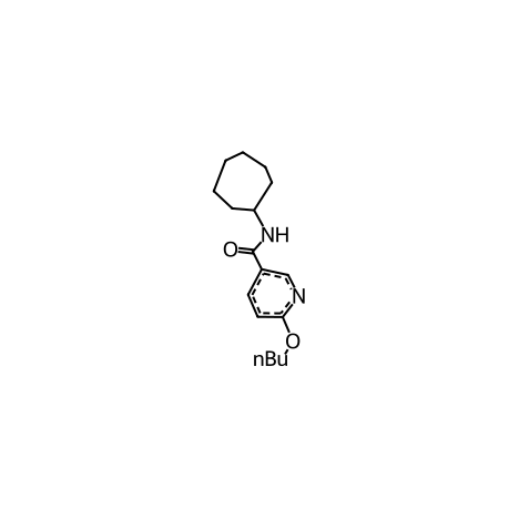 CCCCOc1ccc(C(=O)NC2CCCCCC2)cn1